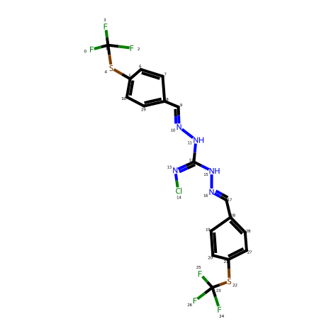 FC(F)(F)Sc1ccc(/C=N/NC(=NCl)N/N=C/c2ccc(SC(F)(F)F)cc2)cc1